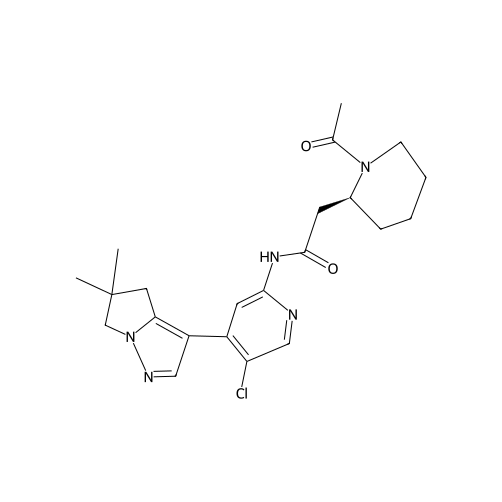 CC(=O)N1CCCC[C@H]1CC(=O)Nc1cc(-c2cnn3c2CC(C)(C)C3)c(Cl)cn1